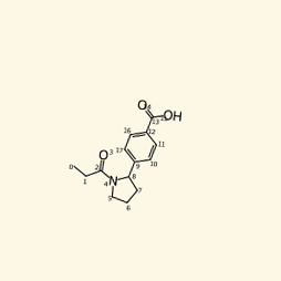 CCC(=O)N1CCCC1c1ccc(C(=O)O)cc1